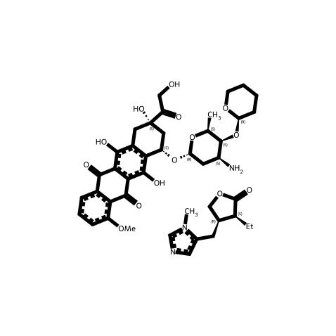 CC[C@@H]1C(=O)OC[C@@H]1Cc1cncn1C.COc1cccc2c1C(=O)c1c(O)c3c(c(O)c1C2=O)C[C@@](O)(C(=O)CO)C[C@@H]3O[C@H]1C[C@H](N)[C@H](O[C@@H]2CCCCO2)[C@H](C)O1